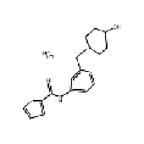 Cl.Cl.N=C(Nc1cccc(CN2CCC(O)CC2)c1)c1cccs1